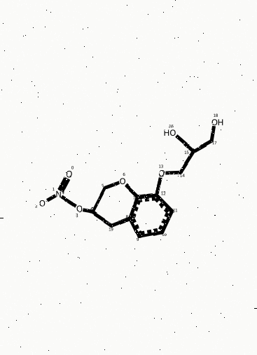 O=[N+]([O-])OC1COc2c(cccc2OCC(O)CO)C1